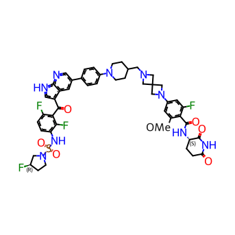 COc1cc(N2CC3(CN(CC4CCN(c5ccc(-c6cnc7[nH]cc(C(=O)c8c(F)ccc(NS(=O)(=O)N9CC[C@@H](F)C9)c8F)c7c6)cc5)CC4)C3)C2)cc(F)c1C(=O)N[C@H]1CCC(=O)NC1=O